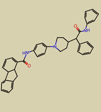 O=C(Nc1ccc(N2CCC(C(C(=O)Nc3ccccc3)c3ccccc3)CC2)cc1)C1=CC=CC2c3ccccc3CC12